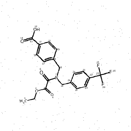 CCOC(=O)C(=O)N(Cc1ccc(C(=O)O)cc1)Cc1ccc(C(F)(F)F)cc1